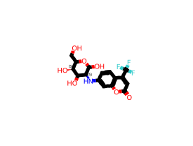 O=c1cc(C(F)(F)F)c2ccc(N[C@@H]3C(O)OC(CO)[C@@H](O)C3O)cc2o1